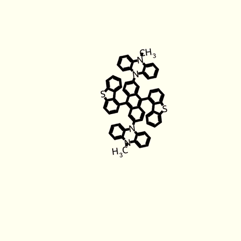 CN1c2ccccc2N(c2ccc3c(-c4cccc5sc6ccccc6c45)c4cc(N5c6ccccc6N(C)c6ccccc65)ccc4c(-c4cccc5sc6ccccc6c45)c3c2)c2ccccc21